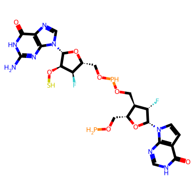 Nc1nc2c(ncn2[C@@H]2O[C@H](COPOC[C@H]3[C@H](F)[C@H](n4ccc5c(=O)[nH]cnc54)O[C@@H]3COP)[C@@H](F)[C@H]2OS)c(=O)[nH]1